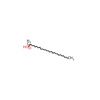 CCCCCCCCCCCCCCCCCCCCCCCCCCC=C(C)C(=O)O